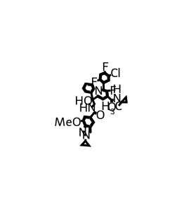 COc1cc(C(=O)NC[C@@](O)(c2ccccc2)c2cc(C(=O)NC3(C)CC3)c(F)c(-c3cc(Cl)c(F)cc3F)n2)cc2cn(C3CC3)nc12